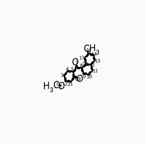 COc1ccc2c(=O)c3c(ccc4ccc(C)cc43)oc2c1